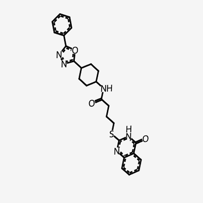 O=C(CCCSc1nc2ccccc2c(=O)[nH]1)NC1CCC(c2nnc(-c3ccccc3)o2)CC1